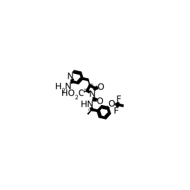 C[C@@H](NC(=O)N1C(=O)[C@H](Cc2ccnc(N)c2)[C@H]1C(=O)O)c1cccc(OC(C)(F)F)c1